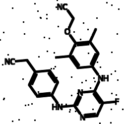 Cc1cc(Nc2nc(Nc3ccc(CC#N)cc3)ncc2F)cc(C)c1OCC#N